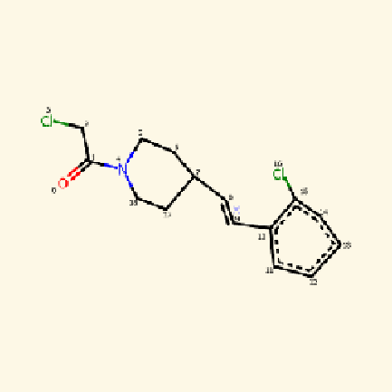 O=C(CCl)N1CCC(/C=C/c2ccccc2Cl)CC1